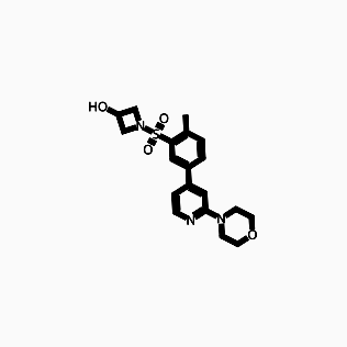 Cc1ccc(-c2ccnc(N3CCOCC3)c2)cc1S(=O)(=O)N1CC(O)C1